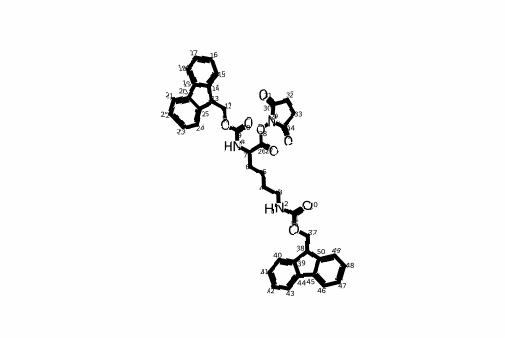 O=C(NCCCCC(NC(=O)OCC1c2ccccc2-c2ccccc21)C(=O)ON1C(=O)CCC1=O)OCC1c2ccccc2-c2ccccc21